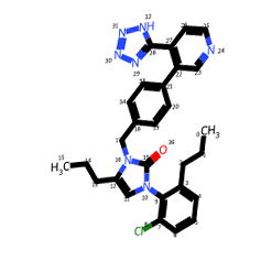 CCCc1cccc(Cl)c1-n1cc(CCC)n(Cc2ccc(-c3cnccc3-c3nnn[nH]3)cc2)c1=O